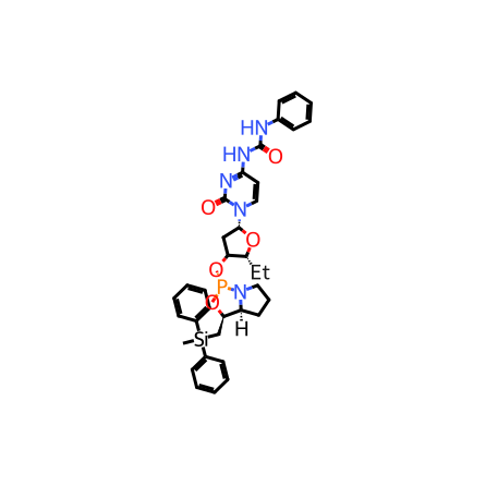 CC[C@H]1O[C@@H](n2ccc(NC(=O)Nc3ccccc3)nc2=O)CC1O[P@@]1O[C@H](C[Si](C)(c2ccccc2)c2ccccc2)[C@@H]2CCCN21